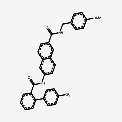 COc1ccc(CNC(=O)c2cnc3cc(NC(=O)c4ccccc4-c4ccc(C(F)(F)F)cc4)ccc3c2)cc1